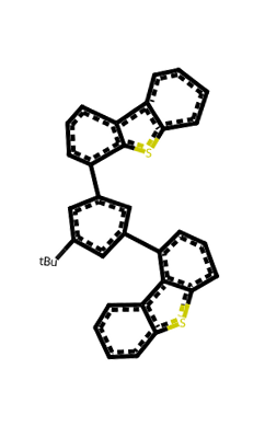 CC(C)(C)c1cc(-c2cccc3c2sc2ccccc23)cc(-c2cccc3sc4ccccc4c23)c1